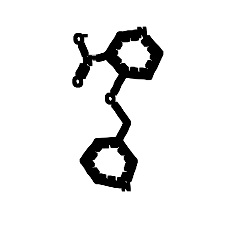 O=[N+]([O-])c1cnccc1OCc1cccnc1